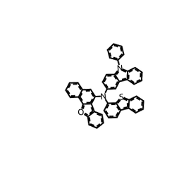 c1ccc(-n2c3ccccc3c3cc(N(c4cccc5c4sc4ccccc45)c4cc5ccccc5c5oc6ccccc6c45)ccc32)cc1